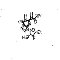 CC[C@H]1O[C@@H](n2nnc3c(=O)[nH]c(NC(=O)C(C)C)nc32)[C@H](O)[C@H]1F